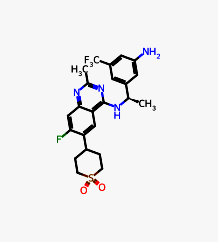 Cc1nc(N[C@H](C)c2cc(N)cc(C(F)(F)F)c2)c2cc(C3CCS(=O)(=O)CC3)c(F)cc2n1